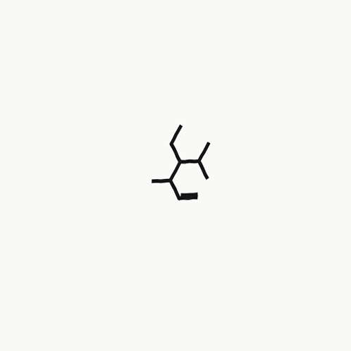 C=CC(C)C(CC)C(C)C